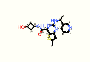 Cc1cc2nc(NC(C)c3cccnc3)nc(C(=O)NC3CC(O)C3)c2s1